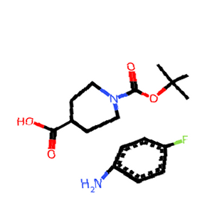 CC(C)(C)OC(=O)N1CCC(C(=O)O)CC1.Nc1ccc(F)cc1